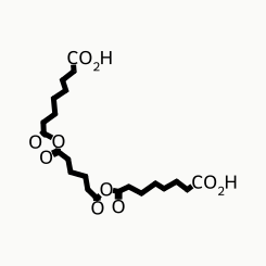 O=C(O)CCCCCCC(=O)OC(=O)CCCCC(=O)OC(=O)CCCCCCC(=O)O